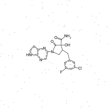 NC(=O)C1(O)C(=O)N(c2cnc3[nH]ccc3n2)CC1Cc1cc(F)cc(Cl)c1